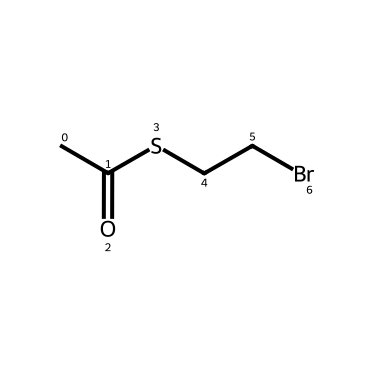 CC(=O)SCCBr